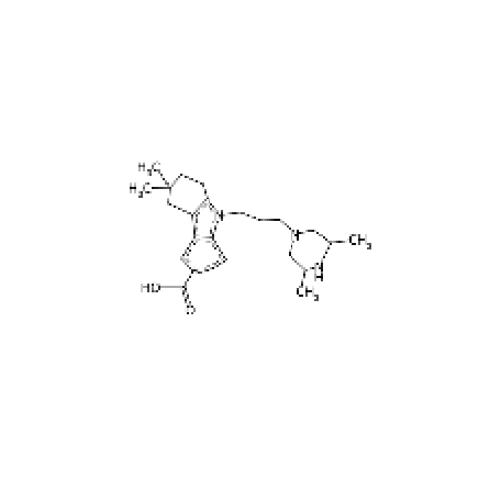 CC1CN(CCCn2c3c(c4cc(C(=O)O)ccc42)CC(C)(C)CC3)CC(C)N1